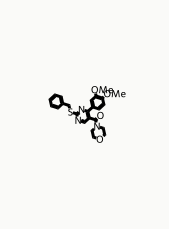 COc1ccc(-c2nc(SCc3ccccc3)ncc2C(=O)N2CCOCC2)cc1OC